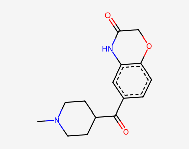 CN1CCC(C(=O)c2ccc3c(c2)NC(=O)CO3)CC1